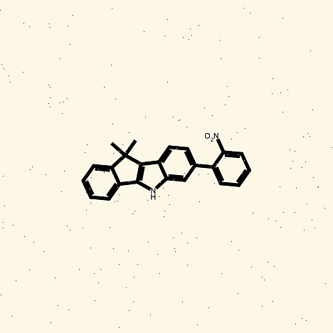 CC1(C)c2ccccc2-c2[nH]c3cc(-c4ccccc4[N+](=O)[O-])ccc3c21